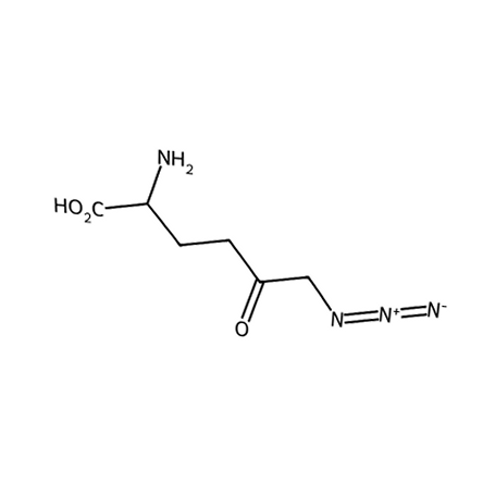 [N-]=[N+]=NCC(=O)CCC(N)C(=O)O